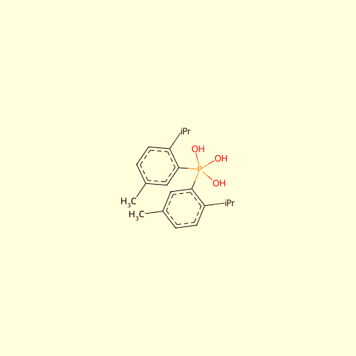 Cc1ccc(C(C)C)c(P(O)(O)(O)c2cc(C)ccc2C(C)C)c1